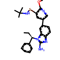 CC[C@H](c1ccccc1)n1c(N)nc2ccc(-c3cnc(OC)c(SNC(C)(C)C)c3)cc21